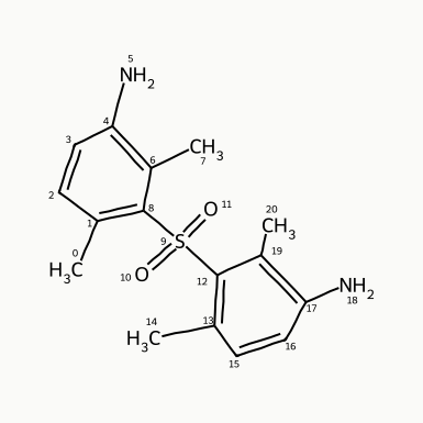 Cc1ccc(N)c(C)c1S(=O)(=O)c1c(C)ccc(N)c1C